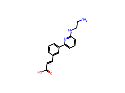 NCCNc1cccc(-c2cccc(/C=C/C(=O)O)c2)n1